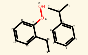 CC(C)c1ccccc1.CCc1ccccc1OO